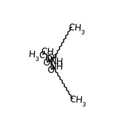 CCCCCCCCCCCCCCCCCC(=O)NCC(NC(=O)CCCCCCCCCCCCCCCCC)C(=O)OCCC(C)C